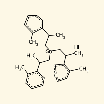 Cc1ccccc1C(C)[CH2][Sn]([CH2]C(C)c1ccccc1C)[CH2]C(C)c1ccccc1C.I